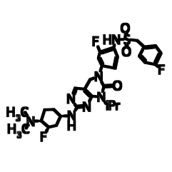 CC(C)N1C(=O)N(c2ccc(NS(=O)(=O)Cc3ccc(F)cc3)c(F)c2)Cc2cnc(N[C@@H]3CC[C@H](N(C)C)[C@H](F)C3)nc21